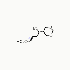 CCC(C/C=C/C(=O)O)C1COCOC1